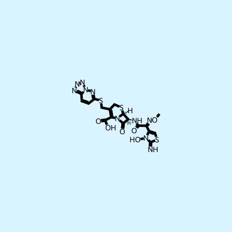 CON=C(C(=O)N[C@@H]1C(=O)N2C(C(=O)O)=C(CSc3ccc4nnnn4n3)CS[C@@H]12)c1csc(=N)n1O